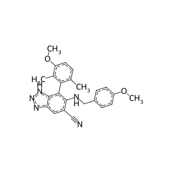 COc1ccc(CNc2c(C#N)cc3nn[nH]c3c2-c2c(C)ccc(OC)c2C)cc1